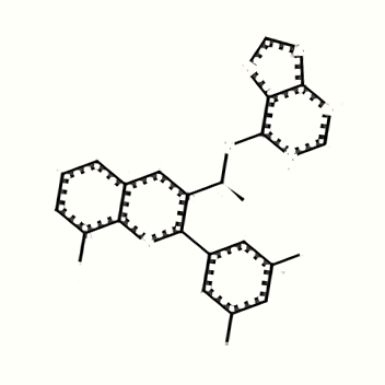 C[C@H](Nc1ncnc2[nH]cnc12)c1cc2cccc(F)c2nc1-c1cc(F)cc(Cl)c1